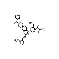 C=C(F)C(=O)N1CCN(c2nc(OCC3CCCN3C)nc3c2CCC2(CCN(C(=O)c4ccccc4)CC2)C3)CC1CC#N